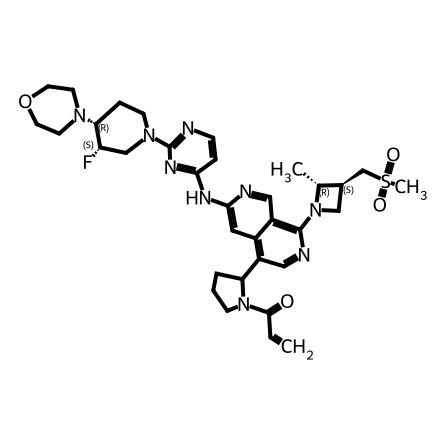 C=CC(=O)N1CCCC1c1cnc(N2C[C@H](CS(C)(=O)=O)[C@H]2C)c2cnc(Nc3ccnc(N4CC[C@@H](N5CCOCC5)[C@@H](F)C4)n3)cc12